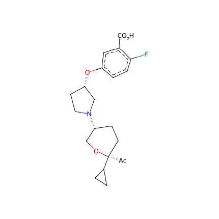 CC(=O)[C@@]1(C2CC2)CC[C@@H](N2CC[C@H](Oc3ccc(F)c(C(=O)O)c3)C2)CO1